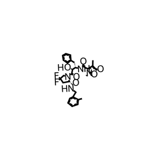 Cc1ccccc1CNC(=O)[C@@H]1CC(F)(F)CN1C(=O)[C@@H](O)[C@H](Cc1ccccc1)NC(=O)c1c(C)c(=O)on1C